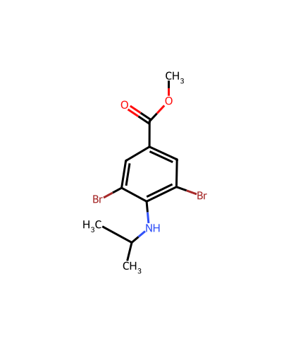 COC(=O)c1cc(Br)c(NC(C)C)c(Br)c1